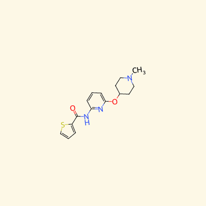 CN1CCC(Oc2cccc(NC(=O)c3cccs3)n2)CC1